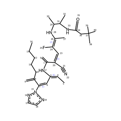 C=C(NC(=C/C)/C=C(\C(=C)CCCCC)n1nccn1)/C(C#N)=C\C(F)=C(/C)NC(C)C(C)NC(=O)CC(C)(C)C